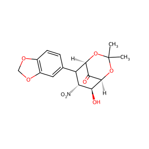 CC1(C)O[C@@H]2C(=O)[C@H](O1)C(c1ccc3c(c1)OCO3)[C@@H]([N+](=O)[O-])[C@@H]2O